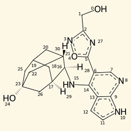 OCc1noc(-c2cnc3[nH]ccc3c2N[C@H]2[C@@H]3CC4C[C@H]2C[C@](O)(C4)C3)n1